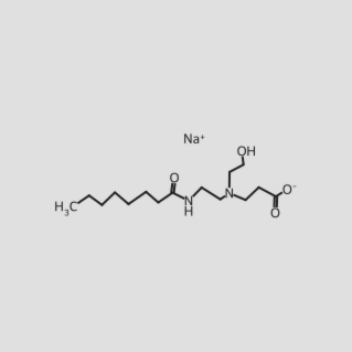 CCCCCCCC(=O)NCCN(CCO)CCC(=O)[O-].[Na+]